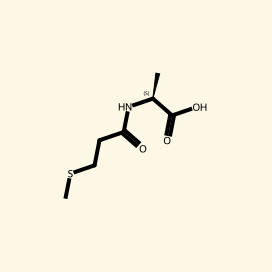 CSCCC(=O)N[C@@H](C)C(=O)O